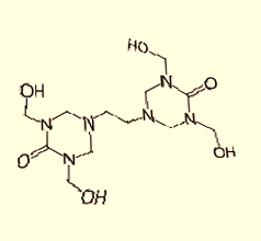 O=C1N(CO)CN(CCN2CN(CO)C(=O)N(CO)C2)CN1CO